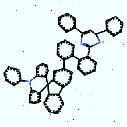 C1=C(c2ccccc2)N=C(c2ccccc2-c2ccccc2-c2ccc3c(c2)C2(c4ccccc4-3)c3ccccc3N(c3ccccc3)c3ccccc32)NC1c1ccccc1